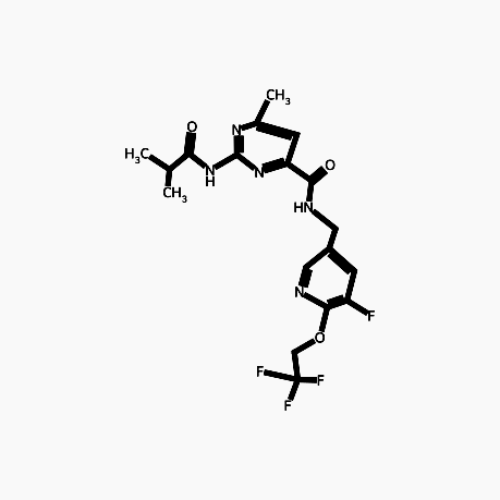 Cc1cc(C(=O)NCc2cnc(OCC(F)(F)F)c(F)c2)nc(NC(=O)C(C)C)n1